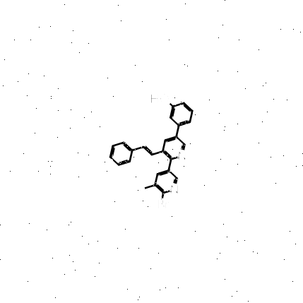 Cc1cc(-c2ncc(-c3cccc(O)c3)cc2/C=C/c2ccccc2)cnc1Br